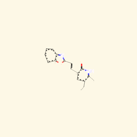 CCc1cc(C=Cc2nc3ccccc3o2)c(=O)[nH]c1C